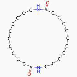 O=C1CCCCCCCCCCNC(=O)CCCCCCCCCCN1